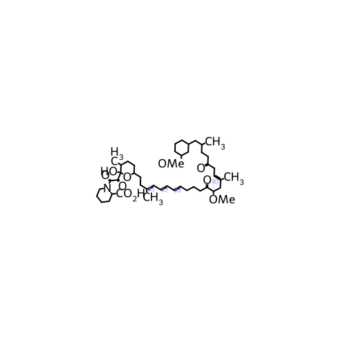 COC1CCCC(CC(C)CCC(=O)C/C=C(\C)CC(OC)C(=O)CCC/C=C/C=C/C=C(\C)CCC2CCC(C)C(O)(C(=O)C(=O)N3CCCCC3C(=O)O)O2)C1